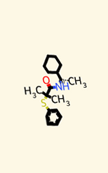 C[C@H](NC(=O)C(C)(C)Sc1ccccc1)C1CCCCC1